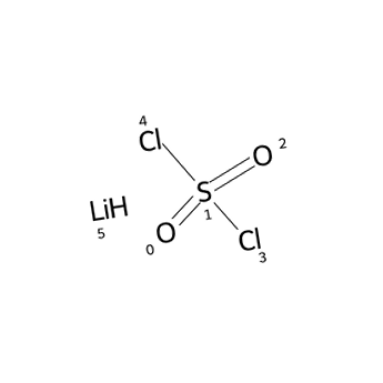 O=S(=O)(Cl)Cl.[LiH]